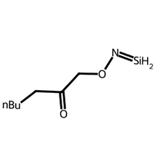 CCCCCC(=O)CON=[SiH2]